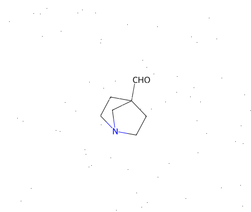 O=CC12CCN(CC1)C2